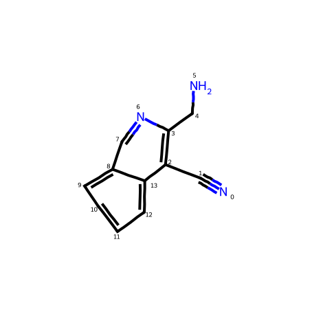 N#Cc1c(CN)ncc2ccccc12